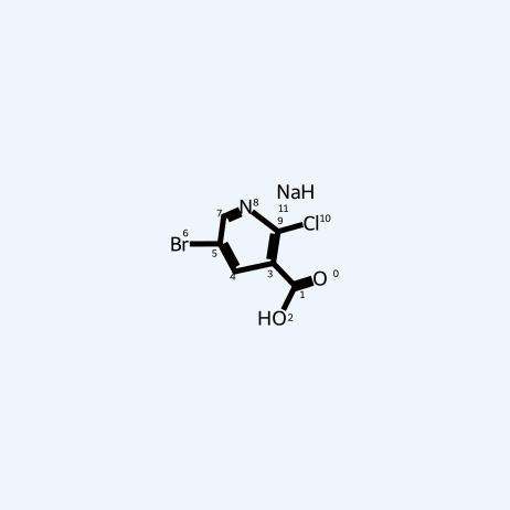 O=C(O)c1cc(Br)cnc1Cl.[NaH]